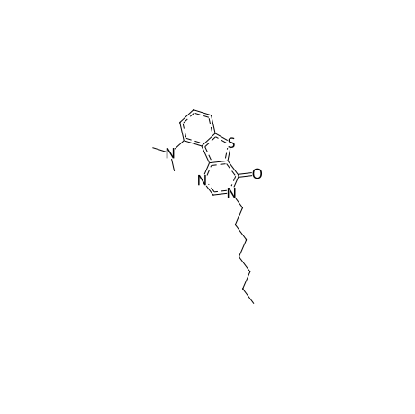 CCCCCCCn1cnc2c(sc3cccc(N(C)C)c32)c1=O